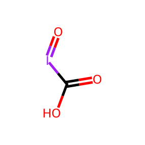 O=IC(=O)O